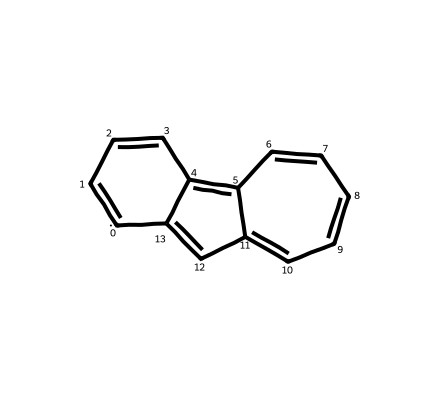 [c]1cccc2c3cccccc-3cc12